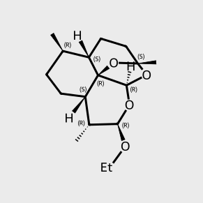 CCO[C@@H]1O[C@@H]2O[C@@]3(C)CC[C@H]4[C@H](C)CC[C@@H]([C@H]1C)[C@@]24O3